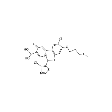 COCCCOc1cc2c(cc1Cl)-c1cc(=O)c(C(O)O)cn1C(c1scnc1Cl)O2